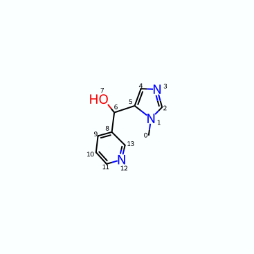 Cn1cncc1C(O)c1cccnc1